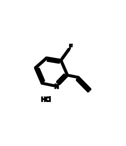 C=Cc1ncccc1F.Cl